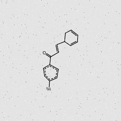 [2H]c1ccc(C(=O)/C=C/C2C=CC=CC2)cc1